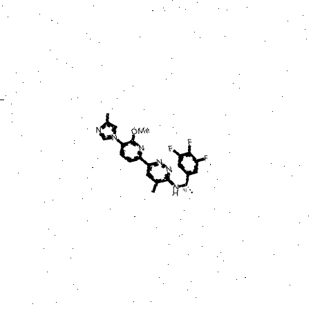 COc1nc(-c2cc(C)c(N[C@@H](C)c3cc(F)c(F)c(F)c3)nn2)ccc1-n1cnc(C)c1